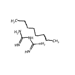 CCCCCCCC.N=C(N)NC(=N)N